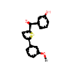 CCOc1cccc(-c2ccc(C(=O)c3cccc(O)c3)s2)c1